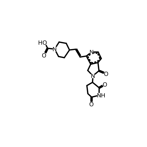 O=C1CCC(N2Cc3c(ccnc3/C=C/C3CCN(C(=O)O)CC3)C2=O)C(=O)N1